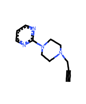 C#CCN1CCN(c2ncccn2)CC1